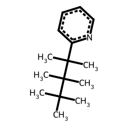 CC(C)(C)C(C)(C)C(C)(C)c1ccccn1